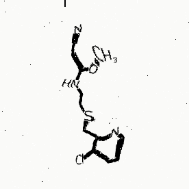 COC(=CC#N)NCCSCc1ncccc1Cl